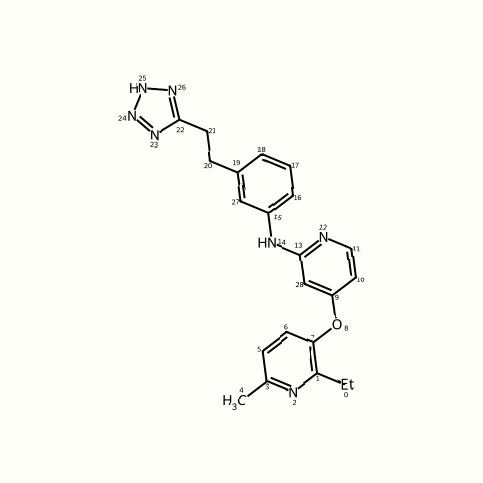 CCc1nc(C)ccc1Oc1ccnc(Nc2cccc(CCc3nn[nH]n3)c2)c1